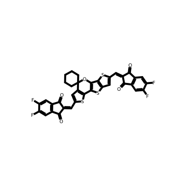 O=C1C(=Cc2cc3c(s2)-c2sc4cc(C=C5C(=O)c6cc(F)c(F)cc6C5=O)sc4c2OC32CCCCC2)C(=O)c2cc(F)c(F)cc21